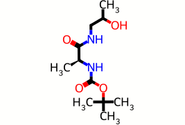 CC(O)CNC(=O)[C@H](C)NC(=O)OC(C)(C)C